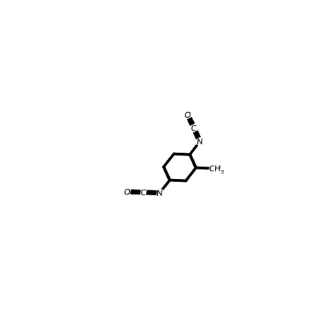 C[C]1CC(N=C=O)CCC1N=C=O